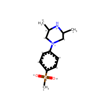 CC1CN(c2ccc(S(C)(=O)=O)cc2)CC(C)N1